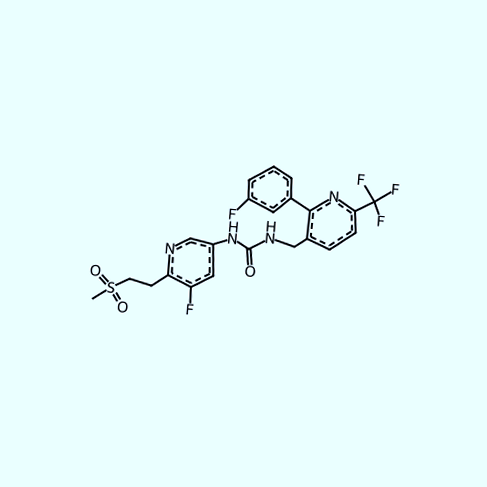 CS(=O)(=O)CCc1ncc(NC(=O)NCc2ccc(C(F)(F)F)nc2-c2cccc(F)c2)cc1F